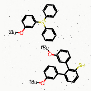 CC(C)(C)Oc1cccc(-c2cccc(S)c2-c2cccc(OC(C)(C)C)c2)c1.CC(C)(C)Oc1cccc([S+](c2ccccc2)c2ccccc2)c1